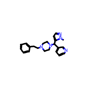 Cn1nccc1C(c1cccnc1)N1CCN(CCc2ccccc2)CC1